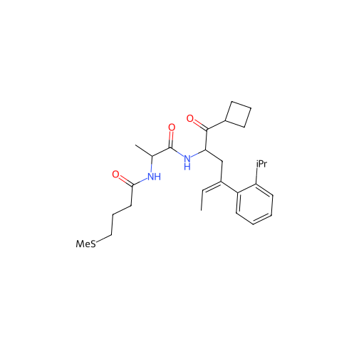 C/C=C(/CC(NC(=O)C(C)NC(=O)CCCSC)C(=O)C1CCC1)c1ccccc1C(C)C